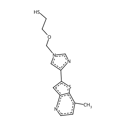 Cc1ccnc2cc(-c3cn(COCCS)cn3)sc12